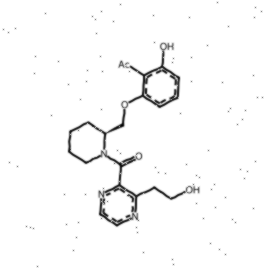 CC(=O)c1c(O)cccc1OC[C@@H]1CCCCN1C(=O)c1nccnc1CCO